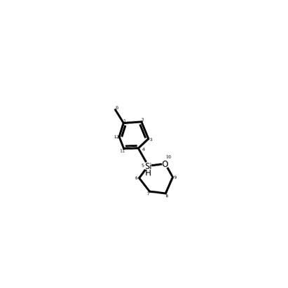 Cc1ccc([SiH]2CCCCO2)cc1